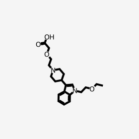 CCOCCn1cc(C2CCN(CCOCC(=O)O)CC2)c2ccccc21